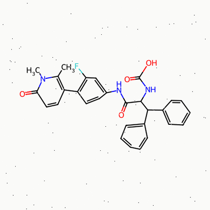 Cc1c(-c2ccc(NC(=O)C(NC(=O)O)C(c3ccccc3)c3ccccc3)cc2F)ccc(=O)n1C